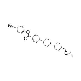 CC[C@H]1CC[C@H](C2CCC(c3ccc(C(=O)Oc4ccc(C#N)cc4)cc3)CC2)CC1